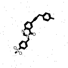 Cc1ccc(CC#Cc2ccc3ncn(Cc4ccc(S(C)(=O)=O)cc4)c(=O)c3c2)cc1